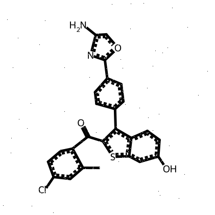 Cc1cc(Cl)ccc1C(=O)c1sc2cc(O)ccc2c1-c1ccc(-c2nc(N)co2)cc1